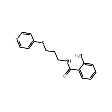 Nc1ccccc1C(=O)NCCCSc1ccncc1